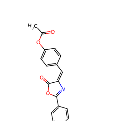 CC(=O)Oc1ccc(C=C2N=C(c3ccccc3)OC2=O)cc1